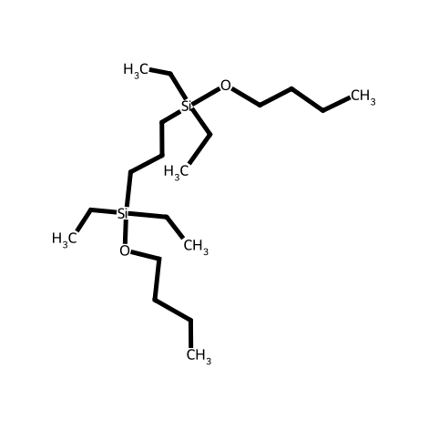 CCCCO[Si](CC)(CC)CCC[Si](CC)(CC)OCCCC